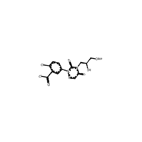 COCC(O)Cn1c(=O)cnn(-c2ccc(Cl)c(C(=O)Cl)c2)c1=O